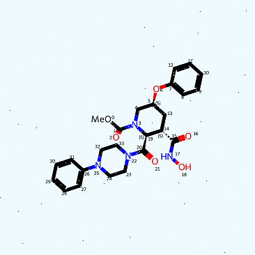 COC(=O)N1C[C@@H](Oc2ccccc2)C[C@H](C(=O)NO)[C@H]1C(=O)N1CCN(c2ccccc2)CC1